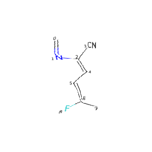 C=N/C(C#N)=C\C=C(/C)F